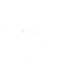 O=C(O)C(Oc1cccc(-c2c3cccc(C(F)(F)F)c3nn2Cc2ccc(Cl)cc2F)c1)c1ccccc1